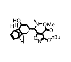 CCCCOc1noc([C@@H]([C@H]2C=C(O)[C@H]3[C@@H](C2)[C@H]2C=C[C@@H]3C2)N(C)C)c1C(=O)OC